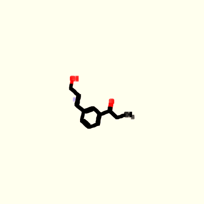 CCC(=O)c1cccc(/C=C/CO)c1